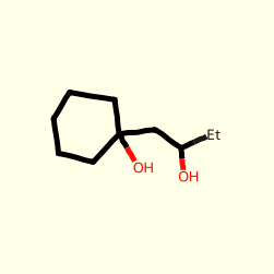 CCC(O)CC1(O)CCCCC1